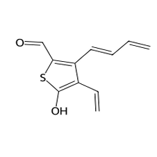 C=C/C=C/c1c(C=O)sc(O)c1C=C